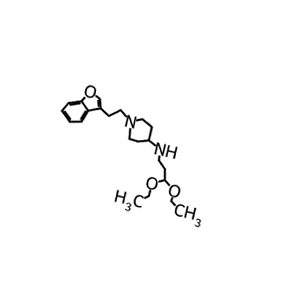 CCOC(CCNC1CCN(CCc2coc3ccccc23)CC1)OCC